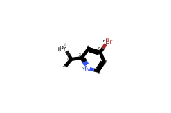 CC(C)C(C)c1cc(Br)ccn1